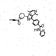 CC#CC(=O)N1CCC[C@@H](c2nc(-c3ccc(C(=O)Nc4ccccn4)cc3)c3c(C)ncc(C)n23)C1